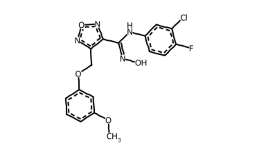 COc1cccc(OCc2nonc2C(=NO)Nc2ccc(F)c(Cl)c2)c1